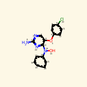 Nc1ncc(Oc2ccc(Cl)cc2)c(N(O)c2ccccc2)n1